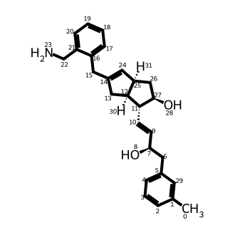 Cc1cccc(C[C@@H](O)/C=C/[C@@H]2[C@H]3CC(Cc4ccccc4CN)=C[C@H]3C[C@H]2O)c1